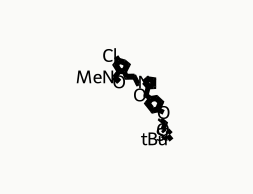 CNC(=O)c1cc(Cl)ccc1C=CCn1cccc1C(=O)c1ccc(OCCO[Si](C)(C)C(C)(C)C)cc1